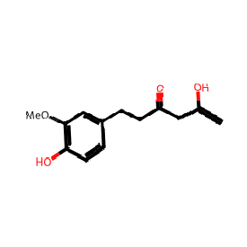 C=C(O)CC(=O)CCc1ccc(O)c(OC)c1